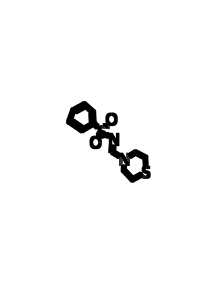 O=S(=O)(N=CN1CCSCC1)c1ccccc1